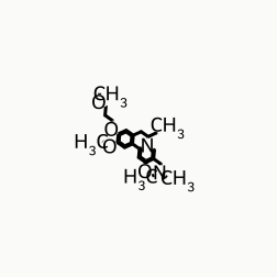 CCC1Cc2cc(OCCCOC)c(OC)cc2-c2cc(=O)c(CN(C)C)cn21